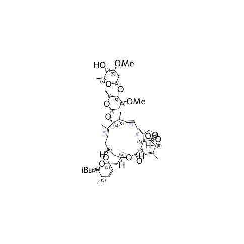 CC[C@H](C)[C@H]1O[C@]2(C=C[C@@H]1C)C[C@@H]1C[C@@H](C/C=C(\C)[C@@H](O[C@H]3C[C@H](OC)[C@@H](O[C@H]4C[C@H](OC)[C@@H](O)[C@H](C)O4)[C@H](C)O3)[C@@H](C)/C=C/C=C3\CO[C@]45O[C@@H]4C(C)=C[C@@H](C(=O)O1)[C@]35O)O2